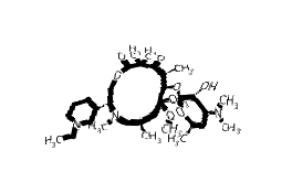 CCN1CCCC([C@@H]2COC(=O)C(C)(C)C(=O)[C@H](C)[C@@H](O[C@@H]3O[C@H](C)C[C@H](N(C)C)[C@H]3O)[C@](C)(OC)C[C@@H](C)CN2C)C1